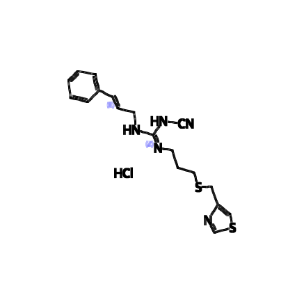 Cl.N#CN/C(=N\CCCSCc1cscn1)NC/C=C/c1ccccc1